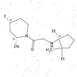 CCC1(C)CCC[C@]1(CC)NCC(=O)N1CC[C@@H](F)C[C@H]1C#N